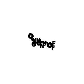 O=C(NCc1ccccc1)C1=NC2=C(C1)N=CN(Cc1ccc(F)c(F)c1)C2